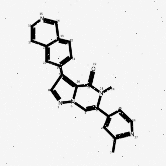 Cc1cc(-c2cn3ncc(-c4ccc5cnccc5c4)c3c(=O)n2C)ccn1